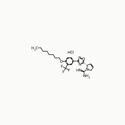 CCCCCCCCOc1ccc(-c2noc([C@@H]3C=CCN3C(=N)N)n2)cc1C(F)(F)F.Cl